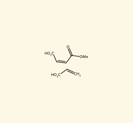 C=CC(=O)O.COC(=O)/C=C\C(=O)O